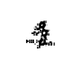 CCCCc1cc(=O)c(C(=O)OCC)cn1Cc1ccc(-c2ccccc2C(=O)OC(C)(C)C)cc1